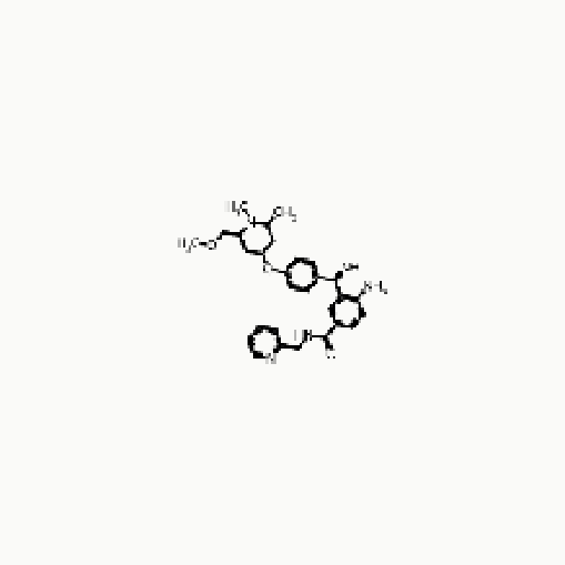 COCC1CC(Oc2ccc(C(=N)c3cc(C(=O)NCc4ccccn4)ccc3N)cc2)CC(C)N1C